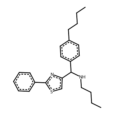 CCCCNC(c1ccc(CCCC)cc1)c1csc(-c2ccccc2)n1